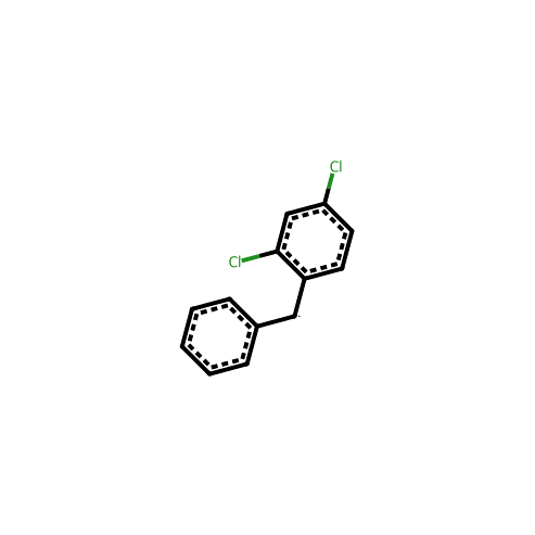 Clc1ccc([CH]c2ccccc2)c(Cl)c1